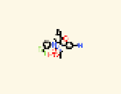 C=C(O)CN1C(=O)N(c2cccc(C(F)(F)F)c2)C(C)=C(C(=O)C2CCC2)C1c1ccc(C#N)cc1